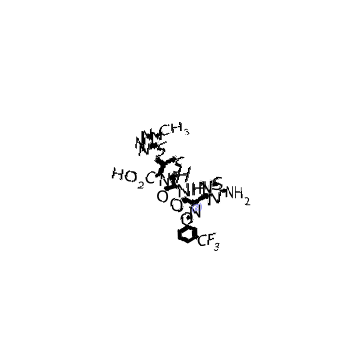 Cn1nnnc1SCC1=C(C(=O)O)N2C(=O)C(NC(=O)/C(=N\Oc3cccc(C(F)(F)F)c3)c3nsc(N)n3)[C@H]2SC1